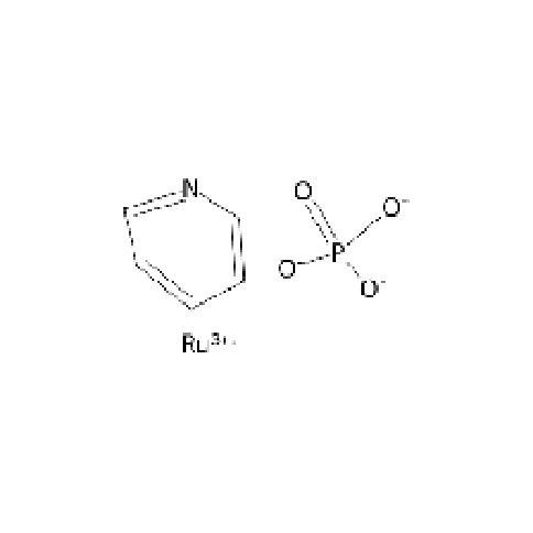 O=P([O-])([O-])[O-].[Ru+3].c1ccncc1